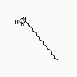 CCCCCCCCCCCCCCCC=Cc1nc[nH]n1